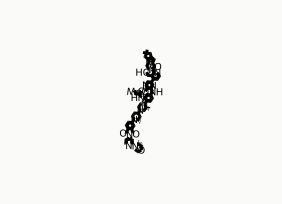 C=CC(=O)Nc1cc(Nc2nc(-c3ccnc(N4CCn5c(cc6c5CC(C)(C)C6)C4=O)c3CO)cnc2OC)ccc1N1CCN(C2CCN(c3ccc4c(c3)C(=O)N(c3ccnc(N5CCOC[C@H]5C)c3)C4=O)[C@@H](C)C2)C[C@@H]1C